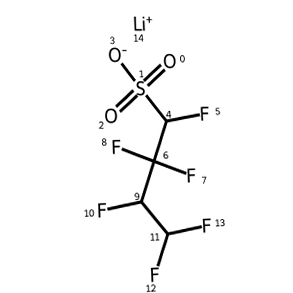 O=S(=O)([O-])C(F)C(F)(F)C(F)C(F)F.[Li+]